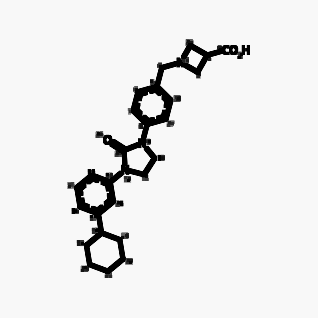 O=C(O)C1CN(Cc2ccc(N3CCN(c4cccc(C5CCCCC5)c4)C3=O)cc2)C1